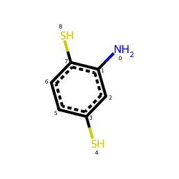 Nc1cc(S)ccc1S